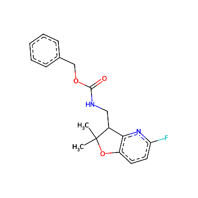 CC1(C)Oc2ccc(F)nc2C1CNC(=O)OCc1ccccc1